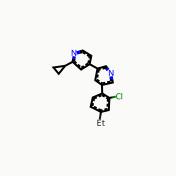 CCc1ccc(-c2cncc(-c3ccnc(C4CC4)c3)c2)c(Cl)c1